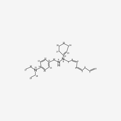 C=CC/C=C\C=C/CN(NCc1ccc(N(CC)CC)cc1)C1=CCCCC1